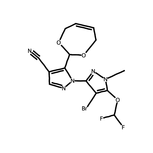 Cn1nc(-n2ncc(C#N)c2C2OCC=CCO2)c(Br)c1OC(F)F